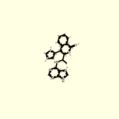 CC(Nc1ncnc2[nH]cnc12)c1oc(=O)c2ccccc2c1-c1cncs1